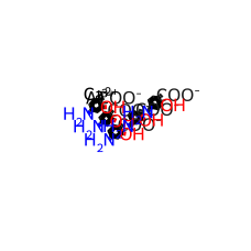 Nc1ccc(C(=O)[O-])c(O)c1.Nc1ccc(C(=O)[O-])c(O)c1.Nc1ccc(C(=O)[O-])c(O)c1.Nc1ccc(C(=O)[O-])c(O)c1.Nc1ccc(C(=O)[O-])c(O)c1.[Al+3].[Ca+2]